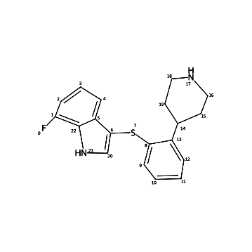 Fc1cccc2c(Sc3ccccc3C3CCNCC3)c[nH]c12